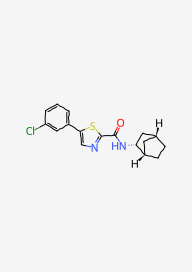 O=C(N[C@@H]1C[C@@H]2CC[C@H]1C2)c1ncc(-c2cccc(Cl)c2)s1